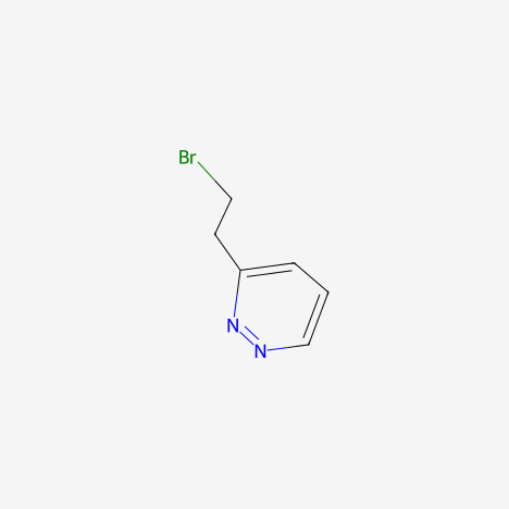 BrCCc1cccnn1